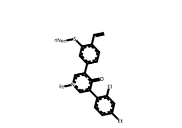 C=Cc1ccc(-c2cn(CC)cc(-c3ccc(CC)cc3Cl)c2=O)cc1SCCCCCCCCC